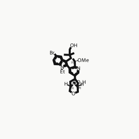 CCn1c(-c2cc(C3C[C@H]4COC[C@@H](C3)N4C(=O)O)cnc2[C@H](C)OC)c(CC(C)(C)CO)c2cc(Br)ccc21